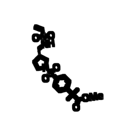 C=CS(=O)(=O)NC[C@H]1CCN(S(=O)(=O)c2ccc(C(C)(C)C(=O)OC)cc2)C1